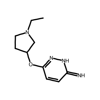 CCN1CCC(Oc2ccc(=N)[nH]n2)C1